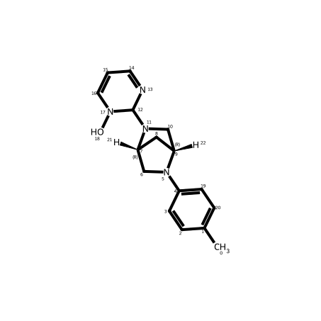 Cc1ccc(N2C[C@H]3C[C@@H]2CN3C2N=CC=CN2O)cc1